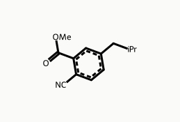 COC(=O)c1cc(CC(C)C)ccc1C#N